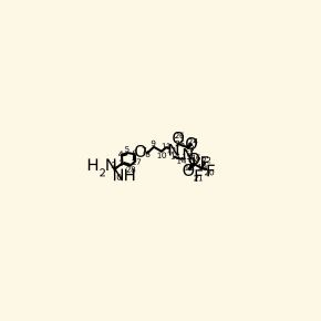 N=C(N)c1ccc(OCCCCN2CCN(OC(=O)C(F)(F)F)C(=O)C2=O)cc1